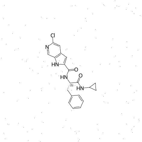 O=C(N[C@@H](Cc1ccccc1)C(=O)NC1CC1)c1cc2cc(Cl)ncc2[nH]1